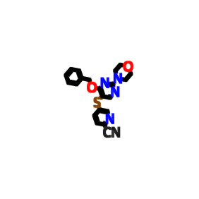 N#Cc1ccc(Sc2cnc(N3CCOCC3)nc2OCc2ccccc2)cn1